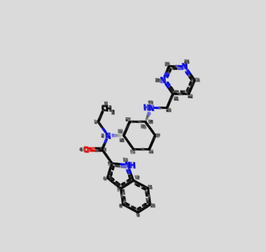 CCN(C(=O)c1cc2ccccc2[nH]1)[C@H]1CCC[C@@H](NCc2ccncn2)C1